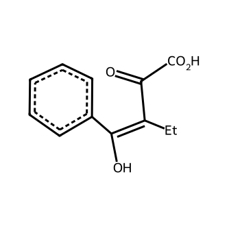 CC/C(C(=O)C(=O)O)=C(\O)c1ccccc1